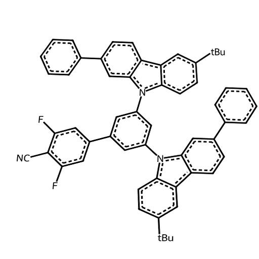 CC(C)(C)c1ccc2c(c1)c1ccc(-c3ccccc3)cc1n2-c1cc(-c2cc(F)c(C#N)c(F)c2)cc(-n2c3ccc(C(C)(C)C)cc3c3ccc(-c4ccccc4)cc32)c1